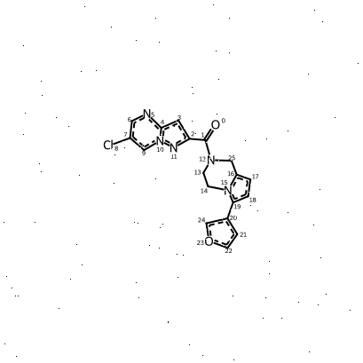 O=C(c1cc2ncc(Cl)cn2n1)N1CCn2c(ccc2-c2ccoc2)C1